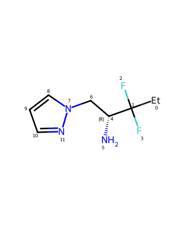 CCC(F)(F)[C@H](N)Cn1cccn1